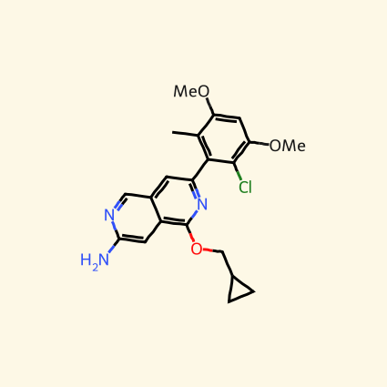 COc1cc(OC)c(Cl)c(-c2cc3cnc(N)cc3c(OCC3CC3)n2)c1C